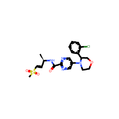 C[C@H](/C=C/S(C)(=O)=O)NC(=O)c1ncc(N2CCOCC2c2ccccc2Cl)cn1